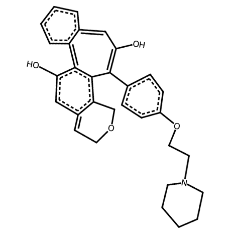 OC1=C(c2ccc(OCCN3CCCCC3)cc2)c2c3c(cc(O)c2=c2ccccc2=C1)=CCOC3